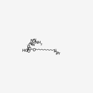 CC(C)C[Si](C)(C)CCCCCCCCCCCCCOCCOP(=O)(O)CO[C@H](C)Cn1cnc2c(N)ncnc21